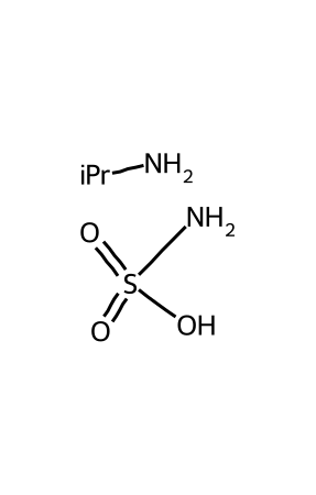 CC(C)N.NS(=O)(=O)O